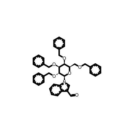 O=Cc1cn([C@@H]2O[C@H](COCc3ccccc3)[C@H](OCc3ccccc3)[C@H](OCc3ccccc3)[C@H]2OCc2ccccc2)c2ccccc12